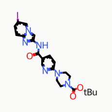 CC(C)(C)OC(=O)N1CCN(c2ccc(C(=O)Nc3cn4cc(I)ccc4n3)cn2)CC1